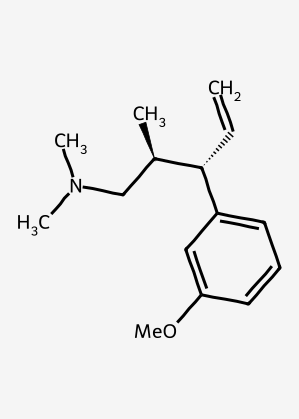 C=C[C@H](c1cccc(OC)c1)[C@H](C)CN(C)C